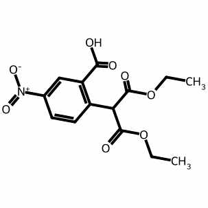 CCOC(=O)C(C(=O)OCC)c1ccc([N+](=O)[O-])cc1C(=O)O